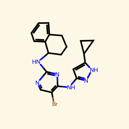 Brc1cnc(NC2CCCc3ccccc32)nc1Nc1cc(C2CC2)[nH]n1